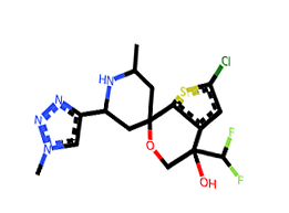 CC1CC2(CC(c3cn(C)nn3)N1)OCC(O)(C(F)F)c1cc(Cl)sc12